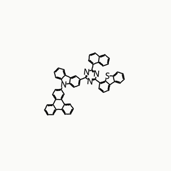 c1ccc2c(-c3nc(-c4ccc5c(c4)c4ccccc4n5-c4ccc5c6ccccc6c6ccccc6c5c4)nc(-c4cccc5c4sc4ccccc45)n3)cccc2c1